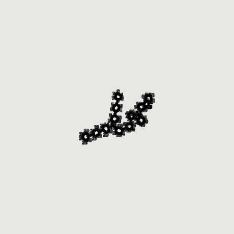 c1ccc(-c2ccc(-c3ccc(N(c4ccc(-c5ccc(-c6ccccc6)cc5)cc4)c4cccc(-c5cccc(-c6cccc7c6c6ccccc6n7-c6ccc7c(c6)sc6ccccc67)c5)c4)cc3)cc2)cc1